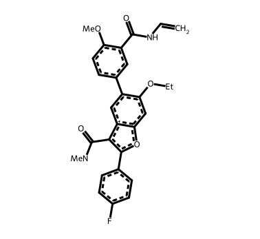 C=CNC(=O)c1cc(-c2cc3c(C(=O)NC)c(-c4ccc(F)cc4)oc3cc2OCC)ccc1OC